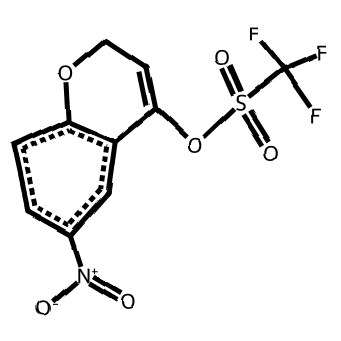 O=[N+]([O-])c1ccc2c(c1)C(OS(=O)(=O)C(F)(F)F)=CCO2